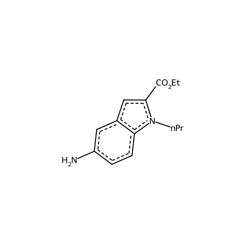 CCCn1c(C(=O)OCC)cc2cc(N)ccc21